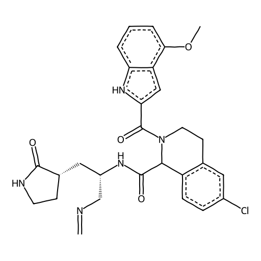 C=NC[C@H](C[C@@H]1CCNC1=O)NC(=O)C1c2ccc(Cl)cc2CCN1C(=O)c1cc2c(OC)cccc2[nH]1